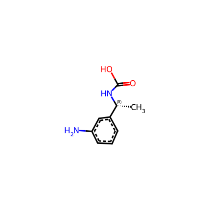 C[C@@H](NC(=O)O)c1cccc(N)c1